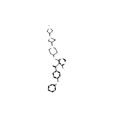 N=C(c1ccc(Oc2ccccc2)cc1)c1c(N)ncnc1NC1CCN(C2CN(C3CN(C=O)C3)C2)CC1